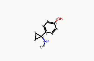 CCNC1(c2ccc(O)cc2)CC1